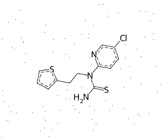 NC(=S)N(CCc1cccs1)c1ccc(Cl)cn1